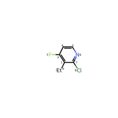 C[CH]c1c(F)ccnc1Cl